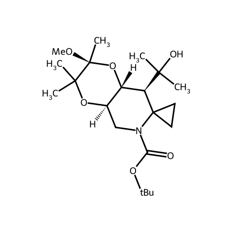 CO[C@@]1(C)O[C@H]2[C@@H](CN(C(=O)OC(C)(C)C)C3(CC3)[C@@H]2C(C)(C)O)OC1(C)C